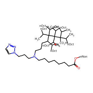 CCCCCCCCCOC(=O)CCCCCCCN(CCCC(C(C)CCCCCCCC)C(C(C)CCCCCCCC)(C(C)CCCCCCCC)C(C(C)CCCCCCCC)(C(C)CCCCCCCC)C(C(=O)O)(C(C)CCCCCCCC)C(C)CCCCCCCC)CCCn1ccnn1